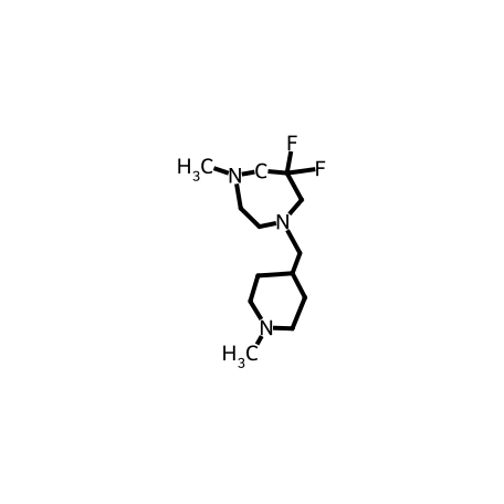 CN1CCC(CN2CCN(C)CC(F)(F)C2)CC1